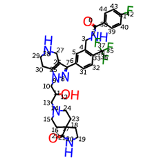 O=C(NCc1cc(-c2nn(CC(O)CN3CCC4(CCNC4=O)CC3)c3c2CNCC3)ccc1C(F)(F)F)c1ccc(F)cc1